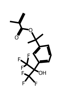 C=C(C)C(=O)OC(C)(C)c1cccc(C(O)(C(F)(F)F)C(F)(F)F)c1